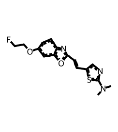 CN(C)c1ncc(C=Cc2nc3ccc(OCCF)cc3o2)s1